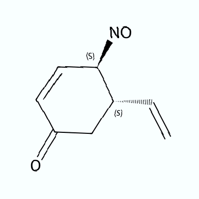 C=C[C@@H]1CC(=O)C=C[C@H]1N=O